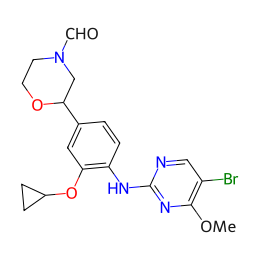 COc1nc(Nc2ccc(C3CN(C=O)CCO3)cc2OC2CC2)ncc1Br